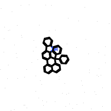 c1ccc(C2(c3ccccc3)c3c(ccc4c3[nH]c3ccccc34)-c3cccc4cccc2c34)cc1